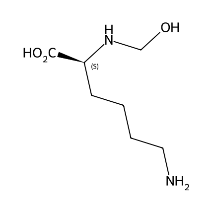 NCCCC[C@H](NCO)C(=O)O